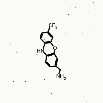 NCc1ccc2c(c1)Oc1cc(C(F)(F)F)ccc1N2